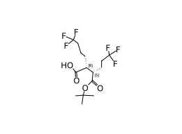 CC(C)(C)OC(=O)[C@@H](CCC(F)(F)F)[C@@H](CCCC(F)(F)F)C(=O)O